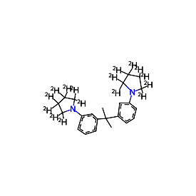 [2H]C1([2H])N(c2cccc(C(C)(C)c3cccc(N4C([2H])([2H])C([2H])([2H])C([2H])([2H])C4([2H])[2H])c3)c2)C([2H])([2H])C([2H])([2H])C1([2H])[2H]